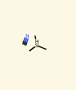 C#N.C[SiH](C)C